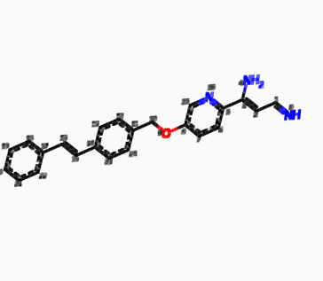 N=C/C=C(\N)c1ccc(OCc2ccc(/C=C/c3ccccc3)cc2)cn1